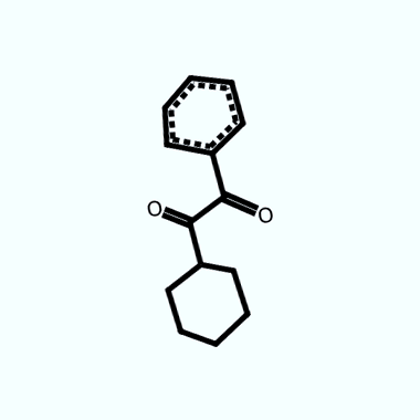 O=C(C(=O)C1CCCCC1)c1ccccc1